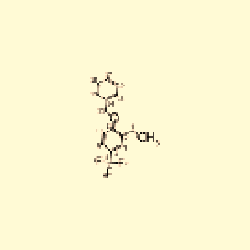 CCc1cc(C(F)(F)F)ccc1OCc1ccccc1